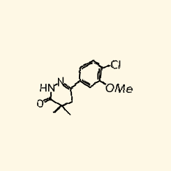 COc1cc(C2=NNC(=O)C(C)(C)C2)ccc1Cl